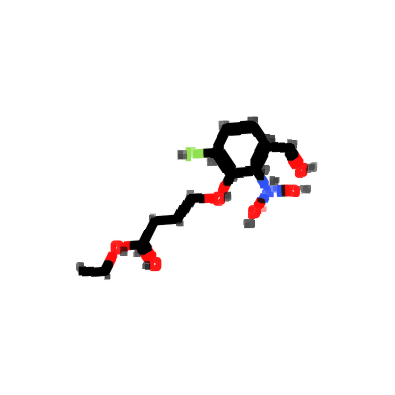 CCOC(=O)CCCOc1c(F)ccc(C=O)c1[N+](=O)[O-]